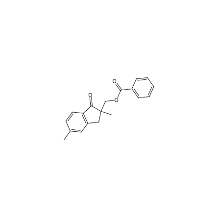 Cc1ccc2c(c1)CC(C)(COC(=O)c1ccccc1)C2=O